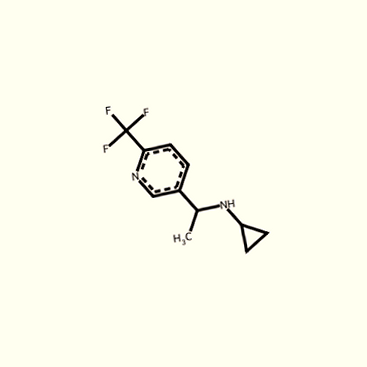 CC(NC1CC1)c1ccc(C(F)(F)F)nc1